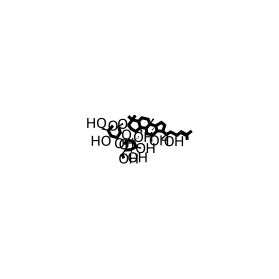 CC(C)=CCC[C@](C)(O)C1CC[C@@]2(C)C1[C@@H](O)CC1[C@]3(C)CCC(O[C@@H]4O[C@H](CO)[C@@H](O)[C@H](O)[C@H]4OC4O[C@H](CO)[C@@H](O)[C@H](O)[C@H]4O)C(C)(C)C3CC[C@@]12C